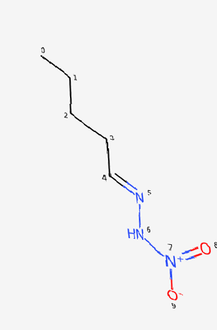 CCCCC=NN[N+](=O)[O-]